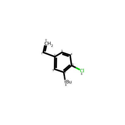 C=Cc1ccc(Cl)c(C(C)(C)C)c1